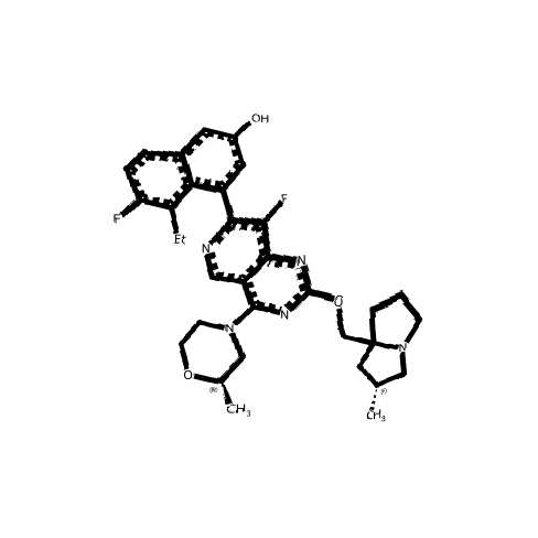 CCc1c(F)ccc2cc(O)cc(-c3ncc4c(N5CCO[C@H](C)C5)nc(OCC56CCCN5C[C@H](C)C6)nc4c3F)c12